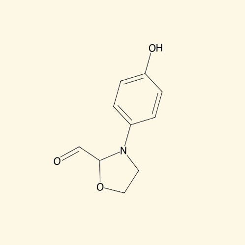 O=CC1OCCN1c1ccc(O)cc1